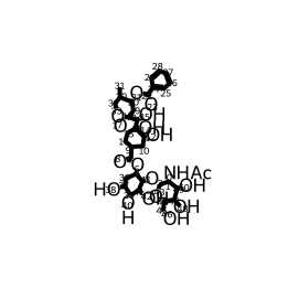 CC(=O)NC1C(OC2C(OC(=O)C3CC(O)C4(O)C(C3)OC3(CC(OC(=O)c5ccccc5)C(C)CO3)C4O)CC(O)C(O)C2O)OC(CO)C(O)C1O